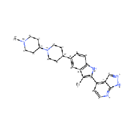 CCc1c(-c2ccnc3[nH]ncc23)[nH]c2ccc(C3CCN(C4CCN(C(C)C)CC4)CC3)cc12